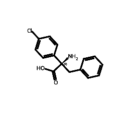 N[C@@](Cc1ccccc1)(C(=O)O)c1ccc(Cl)cc1